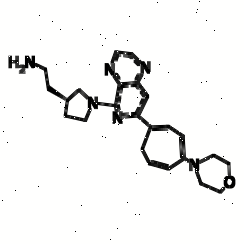 NCC[C@@H]1CCN(c2nc(C3=CC=C(N4CCOCC4)C=CC3)cc3nccnc23)C1